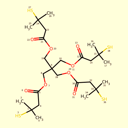 CC(C)(S)CC(=O)OCC(COC(=O)CC(C)(C)S)(COC(=O)CC(C)(C)S)COC(=O)CC(C)(C)S